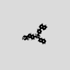 c1ccc2cc(-c3nc(-c4ccc(-c5cccc6ccccc56)cc4)nc(-c4ccc5c(ccc6c7ccncc7oc56)c4)n3)ccc2c1